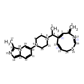 C=C1/C=C(C(C)N2CCN(c3ccc4cnc(C)n4c3)CC2)\C=C/CS/C=N\1